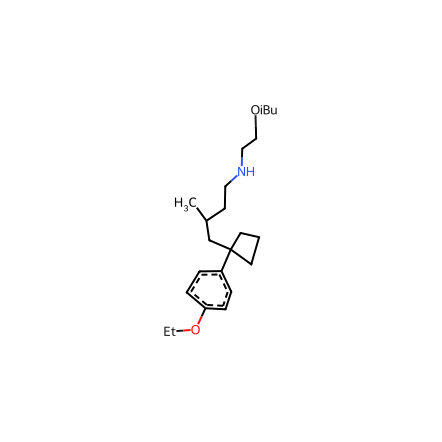 CCOc1ccc(C2(CC(C)CCNCCOCC(C)C)CCC2)cc1